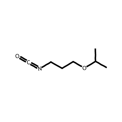 CC(C)OCCCN=C=O